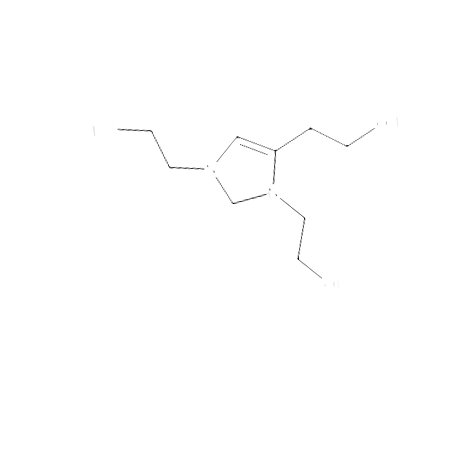 OCCC1=CN(CCO)CN1CCO